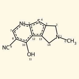 CN1Cc2sc3ncc(C#N)c(O)c3c2C1